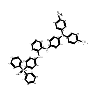 Cc1ccc(N(c2ccc(C)cc2)c2ccc(Oc3ccccc3Oc3ccc(P(=O)(c4ccccc4)c4ccccc4)cc3)cc2)cc1